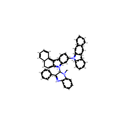 CN1c2ccccc2N=C(c2ccccc2)C1n1c2c(c3ccc(-n4c5ccccc5c5cc6ccccc6cc54)cc31)=C1C=CC=CC1CC=2